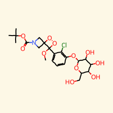 COC1(c2cccc(O[C@@H]3OC(CO)[C@H](O)C(O)C3O)c2Cl)OOC12CN(C(=O)OC(C)(C)C)C2